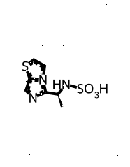 C[C@H](NS(=O)(=O)O)c1ncc2sccn12